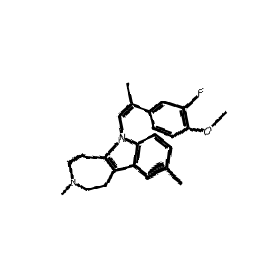 COc1ccc(/C(C)=C\n2c3c(c4cc(C)ccc42)CCN(C)CC3)cc1F